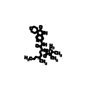 CCC[C@H](C)CC[C@H](NC(=O)N(C)C(C)C)C(=O)Nc1cc2c(cn1)C1(CCOCC1)C(=O)N2